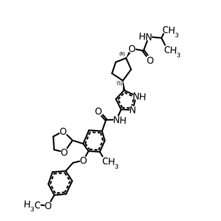 COc1ccc(COc2c(C)cc(C(=O)Nc3cc([C@H]4CC[C@@H](OC(=O)NC(C)C)C4)[nH]n3)cc2C2OCCO2)cc1